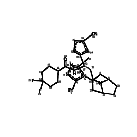 Cc1nnc(C(C)C)n1C1CC2CCC(C1)N2CC[C@H](NC(=O)C1CCC(F)(F)CC1)c1ccc(C#N)s1